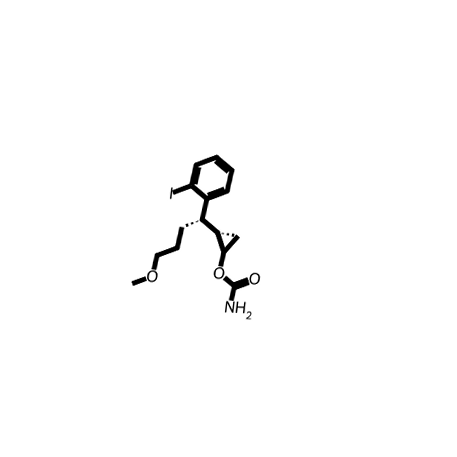 COCCC[C@H](c1ccccc1I)[C@@H]1CC1OC(N)=O